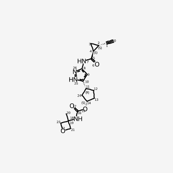 C#C[C@H]1C[C@@H]1C(=O)Nc1cc([C@@H]2CC[C@H](OC(=O)NC3(C)COC3)C2)[nH]n1